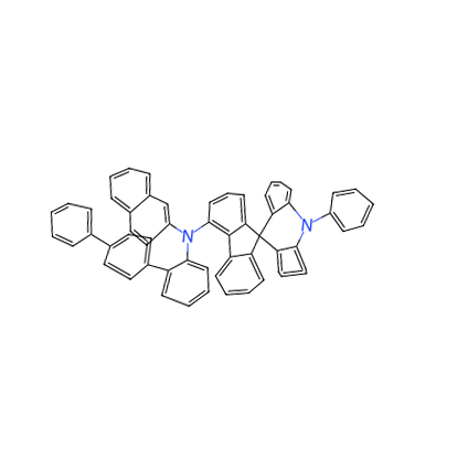 c1ccc(-c2ccc(-c3ccccc3N(c3ccc4ccccc4c3)c3cccc4c3-c3ccccc3C43c4ccccc4N(c4ccccc4)c4ccccc43)cc2)cc1